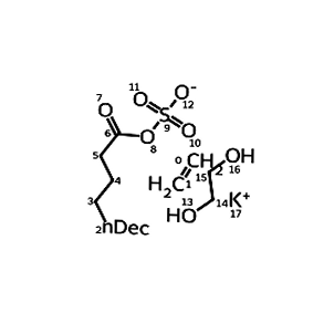 C=C.CCCCCCCCCCCCCC(=O)OS(=O)(=O)[O-].OCCO.[K+]